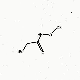 CC(C)(C)CC(=O)NOC(C)(C)C